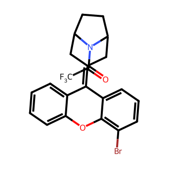 O=C(N1C2CCC1CC(=C1c3ccccc3Oc3c(Br)cccc31)C2)C(F)(F)F